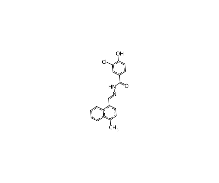 Cc1ccc(/C=N/NC(=O)c2ccc(O)c(Cl)c2)c2ccccc12